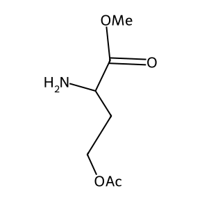 COC(=O)C(N)CCOC(C)=O